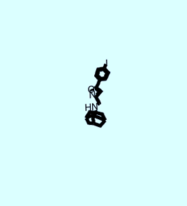 Ic1ccc(-c2cc(CNC34CC5CC(CC(C5)C3)C4)no2)cc1